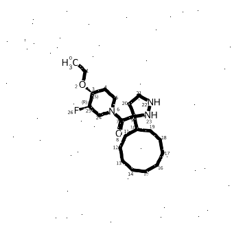 CCO[C@H]1CCN(C(=O)C2(C3CCCCCCCCC3)CCNN2)C[C@H]1F